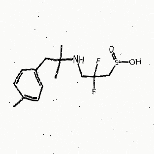 Cc1ccc(CC(C)(C)NCC(F)(F)CS(=O)O)cc1